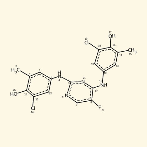 Cc1cc(Nc2ncc(F)c(Nc3cc(C)c(O)c(Cl)c3)n2)cc(Cl)c1O